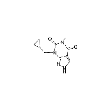 Cn1c(=O)c2c[nH]nc2n(CC2CC2)c1=O